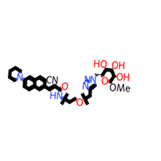 CO[C@H]1O[C@H](Cn2cc(CC(C)(C)OCCC(C)(C)NC(=O)/C(C#N)=C/c3ccc4cc(N5CCCCC5)ccc4c3)nn2)[C@@H](O)[C@H](O)[C@H]1O